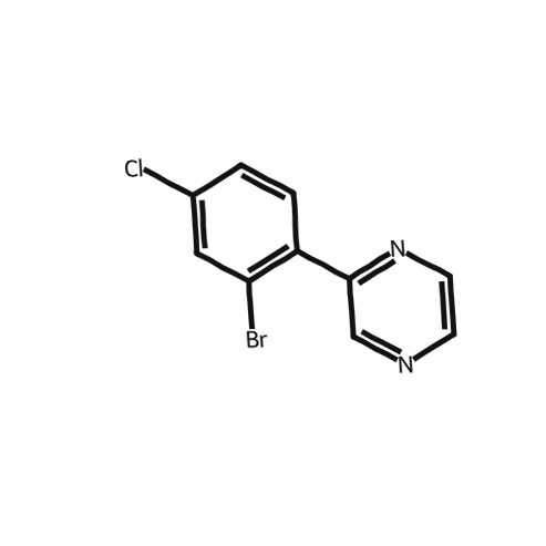 Clc1ccc(-c2cnccn2)c(Br)c1